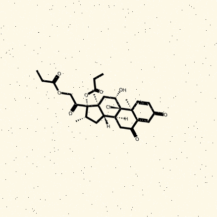 CCC(=O)OCC(=O)[C@]1(OC(=O)CC)[C@@H](C)C[C@H]2[C@@H]3CC(=O)C4=CC(=O)C=C[C@]4(C)[C@@]3(Cl)[C@@H](O)C[C@@]21C